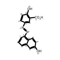 O=C(O)c1cc(N=Nc2cccc3cc(O)ccc23)ccc1O